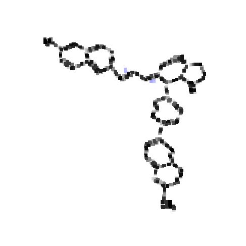 C=C/C(=C\C=C\c1ccc2cc(C)ccc2c1)C(c1ccc(-c2ccc3cc(C)ccc3c2)cc1)C1CCCN1